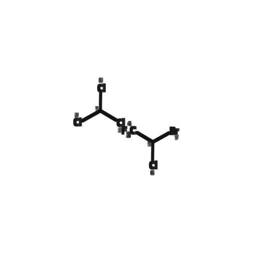 ClC(Cl)Cl.FC(F)(F)C(Cl)Br